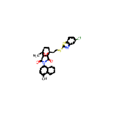 CC12CCC(CCSc3nc4cc(Cl)ccc4s3)(O1)C1C(=O)N(c3ccc(C#N)c4ccccc34)C(=O)C12